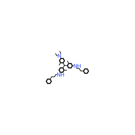 CCN(CC)c1ccc(C(c2ccc(NCCCc3ccccc3)cc2C)c2ccc(NCCCc3ccccc3)cc2C)c(C)c1